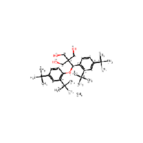 CC(C)(C)c1ccc(OC(c2ccc(C(C)(C)C)cc2C(C)(C)C)C(CO)(CO)CO)c(C(C)(C)C)c1.[SiH4]